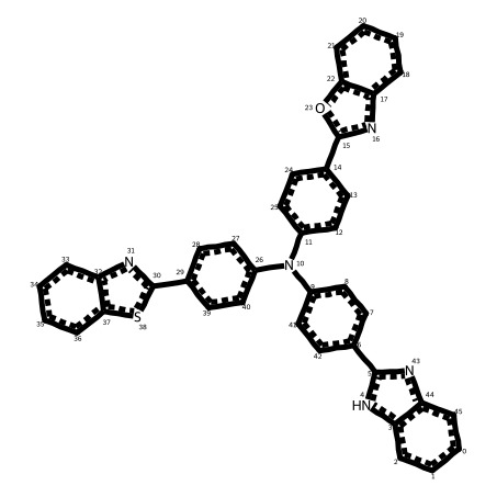 c1ccc2[nH]c(-c3ccc(N(c4ccc(-c5nc6ccccc6o5)cc4)c4ccc(-c5nc6ccccc6s5)cc4)cc3)nc2c1